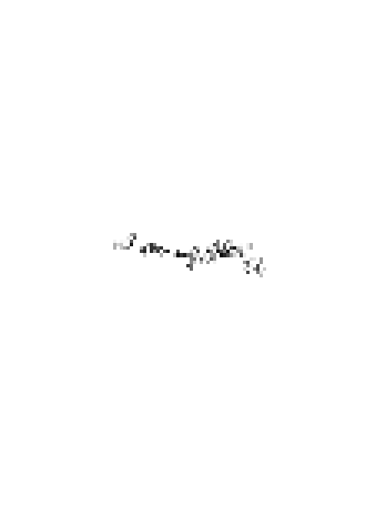 CC(C)CCC[C@@H](C)[C@H]1CC[C@H]2[C@@H]3CC=C4C[C@@H](OC(=O)NCCOCCOCCNC(=O)CCC(=O)O)CC[C@]4(C)[C@H]3CC[C@]12C